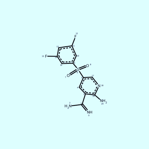 N=C(N)c1cc(S(=O)(=O)c2cc(F)cc(F)c2)cnc1N